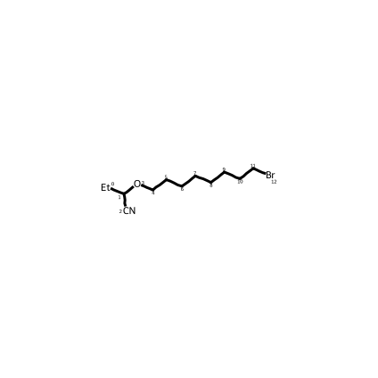 CCC(C#N)OCCCCCCCCBr